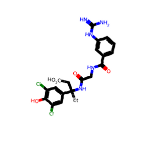 CCC(CC(=O)O)(NC(=O)CNC(=O)c1cccc(NC(=N)N)c1)c1cc(Cl)c(O)c(Cl)c1